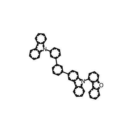 c1cc(-c2cccc(-n3c4ccccc4c4ccccc43)c2)cc(-c2ccc3c(c2)c2ccccc2n3-c2cccc3oc4ccccc4c23)c1